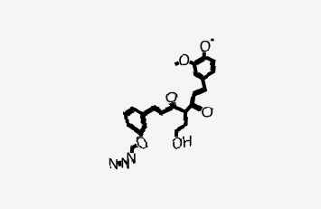 COc1ccc(/C=C/C(=O)C(CCO)C(=O)/C=C/c2cccc(OCN=[N+]=[N-])c2)cc1OC